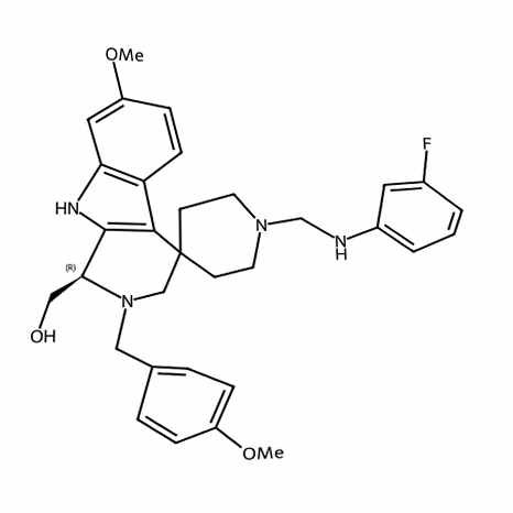 COc1ccc(CN2CC3(CCN(CNc4cccc(F)c4)CC3)c3c([nH]c4cc(OC)ccc34)[C@@H]2CO)cc1